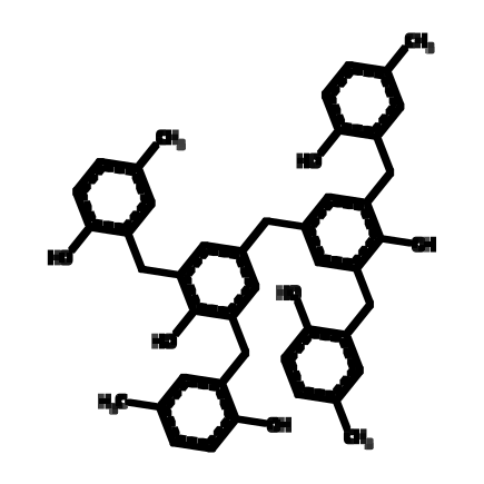 Cc1ccc(O)c(Cc2cc(Cc3cc(Cc4cc(C)ccc4O)c(O)c(Cc4cc(C)ccc4O)c3)cc(Cc3cc(C)ccc3O)c2O)c1